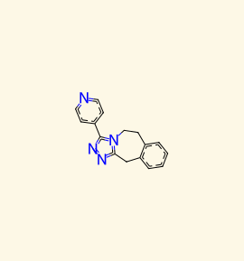 c1ccc2c(c1)CCn1c(nnc1-c1ccncc1)C2